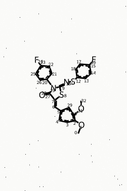 COc1ccc(/C=C2\S/C(=N\Sc3ccc(F)cc3)N(c3ccc(F)cc3)C2=O)cc1OC